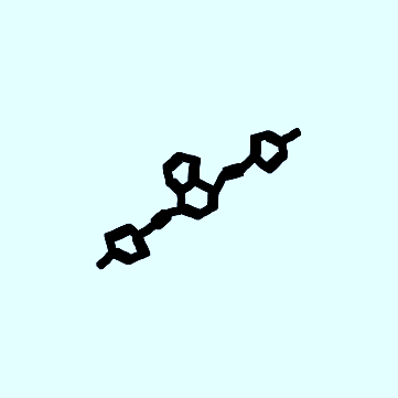 Cc1ccc(C#Cc2ccc(C#Cc3ccc(C)cc3)c3ccccc23)cc1